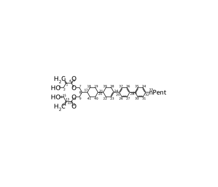 C=C(CO)C(=O)OCC(COC(=O)C(=C)CO)C1CCC(C2CC=C(c3ccc(-c4ccc(CCCCC)cc4)cc3)CC2)CC1